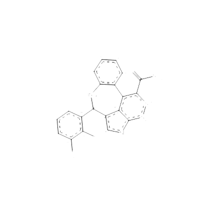 NC(=O)c1nnc2[nH]cc3c2c1-c1ccccc1NC3c1cccc(F)c1F